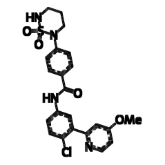 COc1ccnc(-c2cc(NC(=O)c3ccc(N4CCCNS4(=O)=O)cc3)ccc2Cl)c1